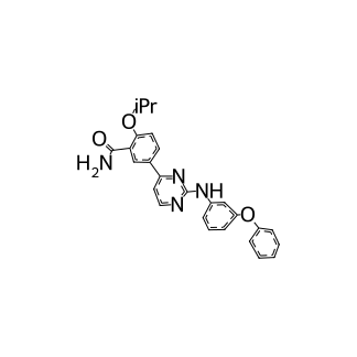 CC(C)Oc1ccc(-c2ccnc(Nc3cccc(Oc4ccccc4)c3)n2)cc1C(N)=O